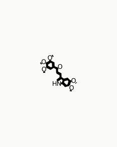 COc1cc2[nH]cc(/C=C/C(=O)c3cc(OC)c(OC)c(OC)c3)c2cc1OC